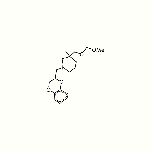 COCOCC1(C)CCCN(CC2COc3ccccc3O2)C1